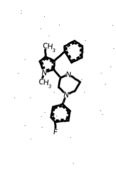 Cc1cn(C)c(C2CN(c3ccc(F)cc3)CC[N]2)c1-c1ccccc1